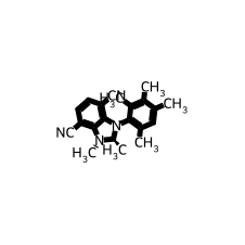 Cc1cc(C)c(N2c3c(C#N)ccc(C#N)c3N(C)[C@@H]2C)c(C)c1C